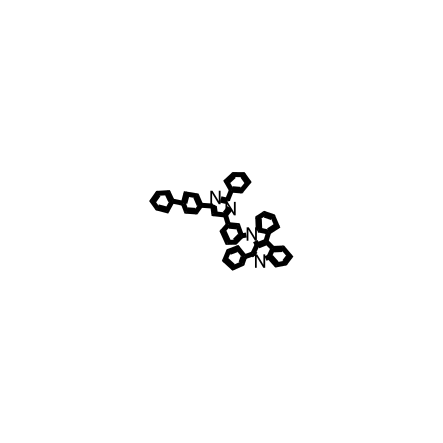 c1ccc(-c2ccc(-c3cc(-c4cccc(-n5c6ccccc6c6c7ccccc7nc(-c7ccccc7)c65)c4)nc(-c4ccccc4)n3)cc2)cc1